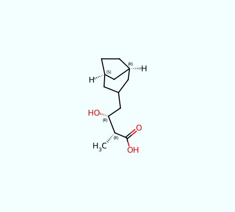 C[C@@H](C(=O)O)[C@H](O)CC1C[C@H]2CC[C@@H](C1)C2